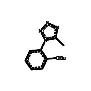 Cc1nnnn1-c1ccccc1OCC(C)C